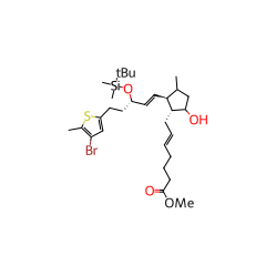 COC(=O)CCCC=CC[C@H]1C(O)CC(C)[C@@H]1C=C[C@H](CCc1cc(Br)c(C)s1)O[Si](C)(C)C(C)(C)C